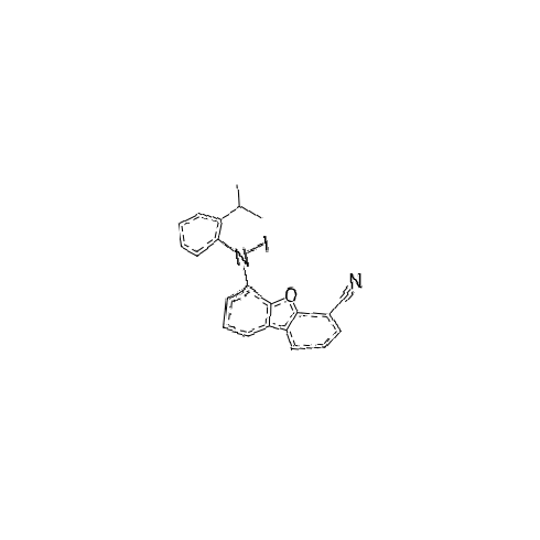 CC(C)c1ccccc1N(I)c1cccc2c1oc1c(C#N)cccc12